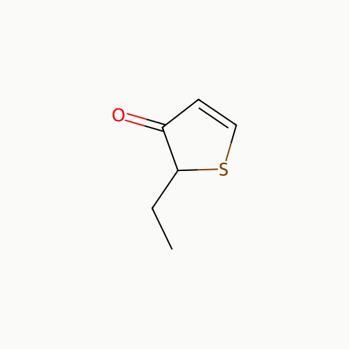 CCC1SC=CC1=O